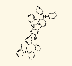 Cc1cccc(N(c2ccccc2)c2ccc3c4cc5c(cc4n4c6ccccc6c2c34)c2ccc(N(c3ccccc3)c3ccccc3C)c3c4ccccc4n5c23)c1